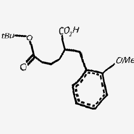 COc1ccccc1CC(CC(=O)OC(C)(C)C)C(=O)O